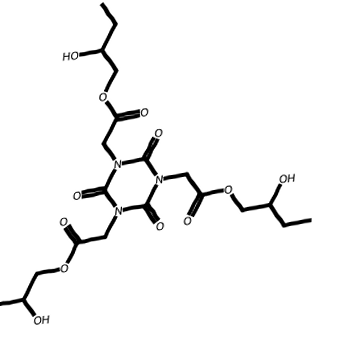 CCC(O)COC(=O)Cn1c(=O)n(CC(=O)OCC(O)CC)c(=O)n(CC(=O)OCC(O)CC)c1=O